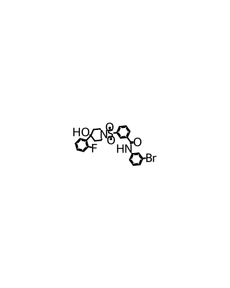 O=C(Nc1cccc(Br)c1)c1cccc(S(=O)(=O)N2CCC(O)(c3ccccc3F)CC2)c1